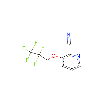 N#Cc1ncccc1OCC(F)(F)C(F)(F)F